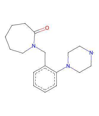 O=C1CCCCCN1Cc1ccccc1N1CC[N]CC1